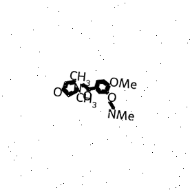 CNCCOc1cc(C(=O)Cn2c(C)cc(=O)cc2C)ccc1OC